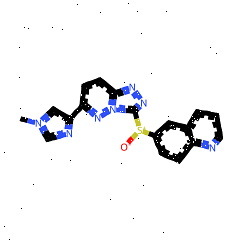 Cn1cnc(-c2ccc3nnc([S+]([O-])c4ccc5ncccc5c4)n3n2)c1